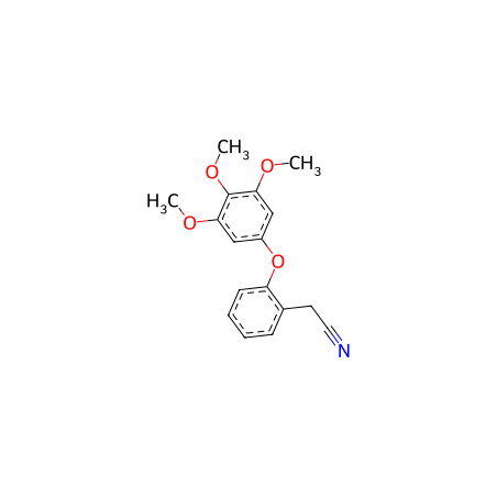 COc1cc(Oc2ccccc2CC#N)cc(OC)c1OC